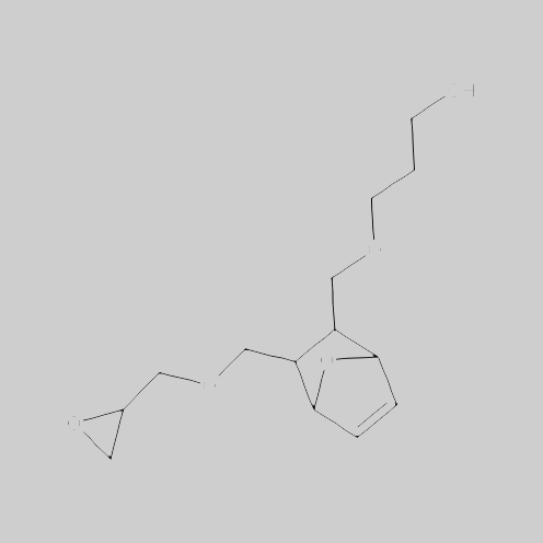 OCCCOCC1C2C=CC(O2)C1COCC1CO1